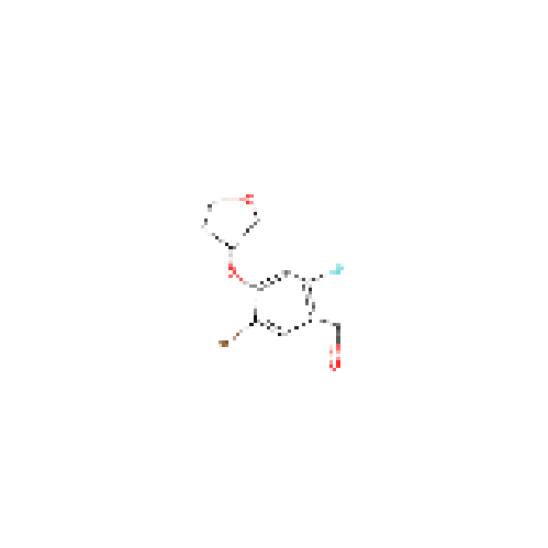 O=Cc1cc(Br)c(OC2CCOC2)cc1F